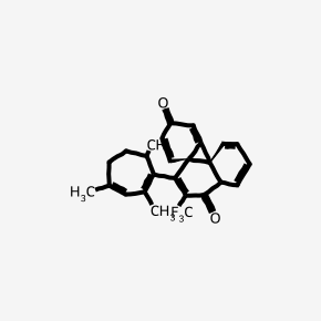 CC1=CC(C)=C(C2=C(C(F)(F)F)C(=O)C3C=CC=C[C@@]34C3=CC(=O)C=C[C@]324)C(C)CC1